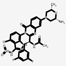 CC(=O)N[C@@H](Cc1cc(F)cc(F)c1)c1nc2cc(N3C[C@@H](N)O[C@@H](C)C3)ccc2c(=O)n1-c1ccc(Cl)c2c(N[SH](=O)=O)n[nH]c12